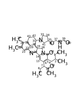 CCC(C)Cc1c(C(CC)C(C)=O)cc2n(c1=O)Cc1c-2nc2cc(C)c(C)c3c2c1C(N1CCC(OCNC=O)C1)CC3